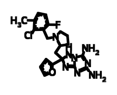 Cc1ccc(F)c(CN2CCCC2CC2(c3ccco3)N=C3N=C(N)N=C(N)N3N2)c1Cl